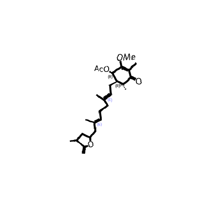 C=C1OC(C/C(C)=C/CC/C(C)=C/C[C@@H]2[C@@H](C)C(=O)C(C)=C(OC)[C@@H]2OC(C)=O)CC1C